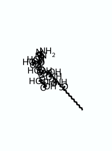 CCCCCCCCCCCCCCCC(=O)SCCNC(=O)CCNC(=O)[C@H](O)C(C)(C)COP(=O)(O)OP(=O)(O)OC[C@H]1O[C@@H](n2cnc3c(N)ncnc32)[C@H](O)[C@@H]1OP(=O)(O)O.O=C(O)CC(O)C(=O)O